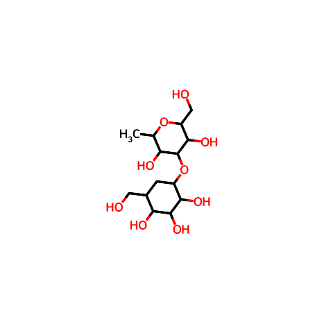 CC1OC(CO)C(O)C(OC2CC(CO)C(O)C(O)C2O)C1O